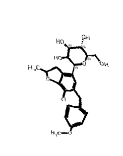 COc1ccc(Cc2cc([C@@H]3O[C@H](CO)[C@@H](O)[C@H](O)C3O)c3c(c2Cl)OC(C)C3)cc1